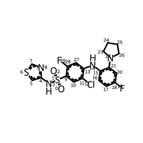 O=S(=O)(Nc1cscn1)c1cc(Cl)c(Nc2ccc(F)cc2N2CCCC2)cc1F